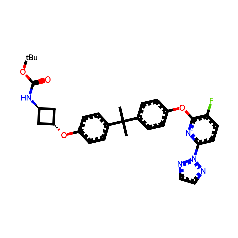 CC(C)(C)OC(=O)N[C@H]1C[C@H](Oc2ccc(C(C)(C)c3ccc(Oc4nc(-n5nccn5)ccc4F)cc3)cc2)C1